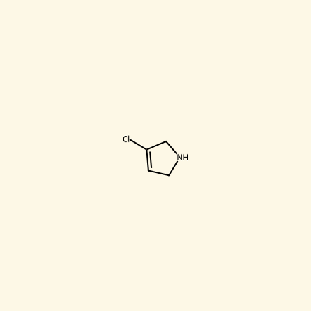 ClC1=CCNC1